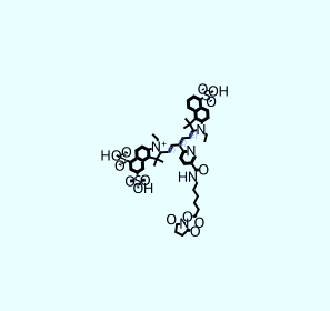 CCN1/C(=C/C=C(/C=C/C2=[N+](CC)c3ccc4c(S(=O)(=O)O)cc(S(=O)(=O)O)cc4c3C2(C)C)c2ccc(C(=O)NCCCCCC(=O)ON3C(=O)CCC3=O)cn2)C(C)(C)c2c1ccc1c(S(=O)(=O)O)cccc21